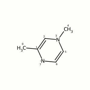 CC1=CN(C)C=C[N]1